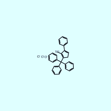 [Cl-].[Cl-].[Cl-].[Ti+3][C]1=C(C(c2ccccc2)(c2ccccc2)c2ccccc2)CC=C1c1ccccc1